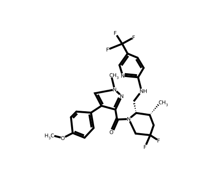 COc1ccc(-c2cn(C)nc2C(=O)N2CC(F)(F)C[C@@H](C)[C@H]2CNc2ccc(C(F)(F)F)cn2)cc1